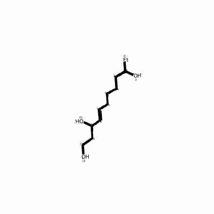 CCC(O)CCCCC=CC(O)CCO